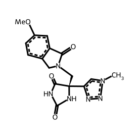 COc1ccc2c(c1)C(=O)N(C[C@@]1(c3cn(C)nn3)NC(=O)NC1=O)C2